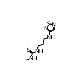 CNC(=S)NCCCNc1cnsn1